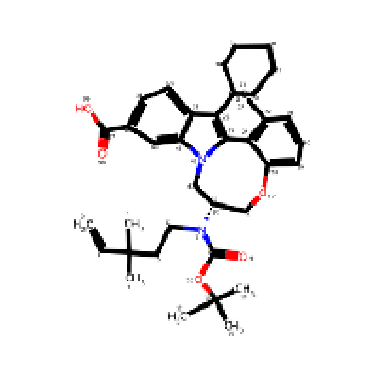 C=CC(C)(C)CCN(C(=O)OC(C)(C)C)[C@H]1COc2cccc(C)c2-c2c(C3CCCCC3)c3ccc(C(=O)O)cc3n2C1